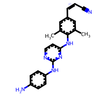 Cc1cc(/C=C\C#N)cc(C)c1Nc1ccnc(Nc2ccc(N)cc2)n1